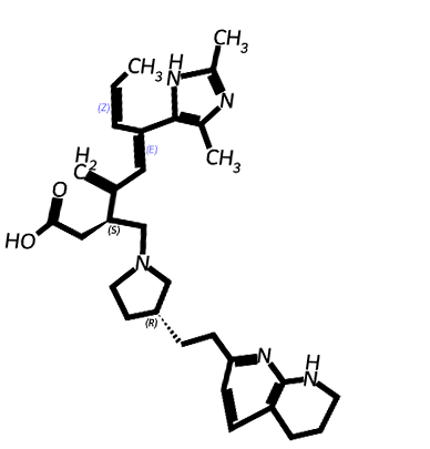 C=C(/C=C(\C=C/C)c1[nH]c(C)nc1C)[C@H](CC(=O)O)CN1CC[C@@H](CCc2ccc3c(n2)NCCC3)C1